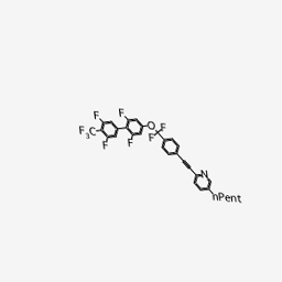 CCCCCc1ccc(C#Cc2ccc(C(F)(F)Oc3cc(F)c(-c4cc(F)c(C(F)(F)F)c(F)c4)c(F)c3)cc2)nc1